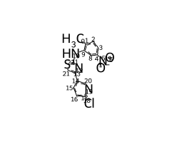 Cc1ccc([N+](=O)[O-])cc1Nc1nc(-c2ccc(Cl)nc2)cs1